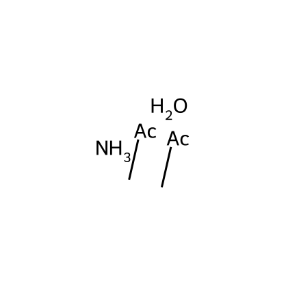 CC(C)=O.CC(C)=O.N.O